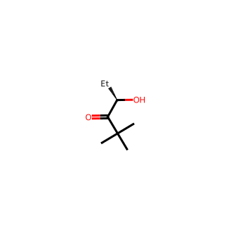 CC[C@@H](O)C(=O)C(C)(C)C